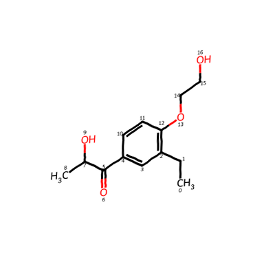 CCc1cc(C(=O)C(C)O)ccc1OCCO